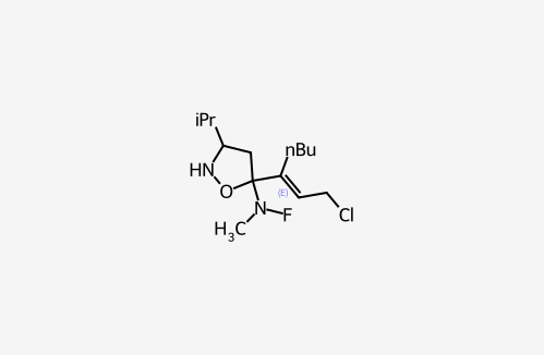 CCCC/C(=C\CCl)C1(N(C)F)CC(C(C)C)NO1